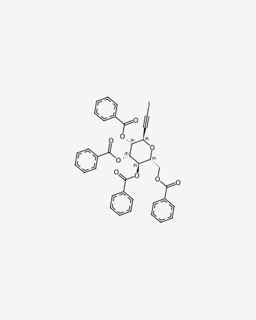 O=C(OC[C@H]1O[C@H](C#CI)[C@@H](OC(=O)c2ccccc2)[C@@H](OC(=O)c2ccccc2)[C@@H]1OC(=O)c1ccccc1)c1ccccc1